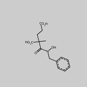 CC(CCC(=O)O)(C(=O)O)C(=O)N(O)Cc1ccccc1